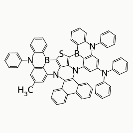 Cc1cc2c3c(c1)N1c4c(sc5c4N(c4cc(N(c6ccccc6)c6ccccc6)cc6c4B5c4ccccc4N6c4ccccc4)c4c1c1ccccc1c1ccccc41)B3c1ccccc1N2c1ccccc1